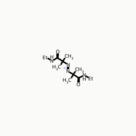 CCNC(=O)C(C)(C)/N=N/C(C)(C)C(=O)NCC